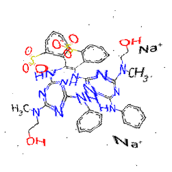 CN(CCO)c1nc(NC(=C(Nc2nc(Nc3ccccc3)nc(N(C)CCO)n2)c2ccccc2S(=O)(=O)[O-])c2ccccc2S(=O)(=O)[O-])nc(Nc2ccccc2)n1.[Na+].[Na+]